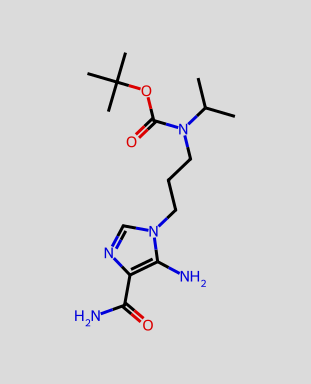 CC(C)N(CCCn1cnc(C(N)=O)c1N)C(=O)OC(C)(C)C